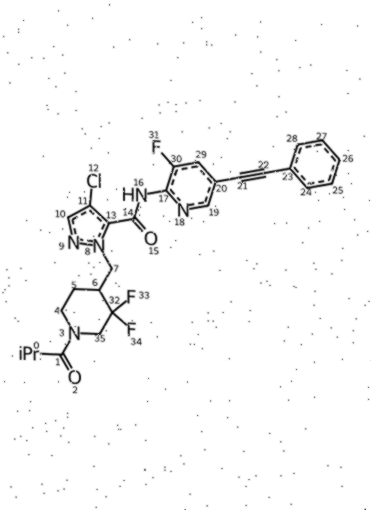 CC(C)C(=O)N1CCC(Cn2ncc(Cl)c2C(=O)Nc2ncc(C#Cc3ccccc3)cc2F)C(F)(F)C1